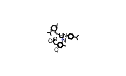 COC(=O)Cc1cc(/N=C(\CCC[C@@H]2C[C@H](C)CC[C@H]2C(C)C)Nc2ccc(C(C)C)cc2)c(C)cc1OC